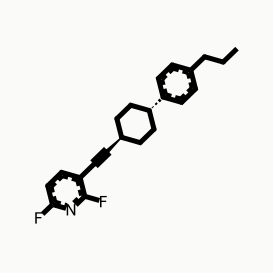 CCCc1ccc([C@H]2CC[C@H](C#Cc3ccc(F)nc3F)CC2)cc1